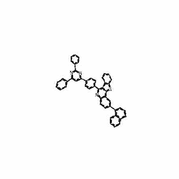 c1ccc(-c2cc(-c3ccc(-c4nc5ccc(-c6cccc7ccccc67)cc5c5sc6ccccc6c45)cc3)nc(-c3ccccc3)n2)cc1